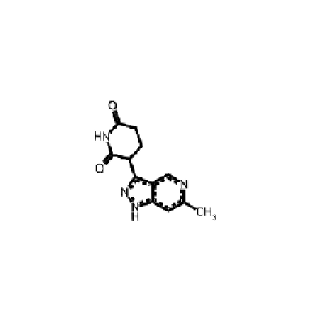 Cc1cc2[nH]nc(C3CCC(=O)NC3=O)c2cn1